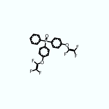 O=P(c1ccccc1)(c1ccc(OC(F)=C(F)F)cc1)c1ccc(OC(F)=C(F)F)cc1